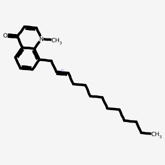 CCCCCCCCCC/C=C/Cc1cccc2c(=O)ccn(C)c12